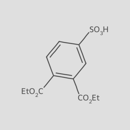 CCOC(=O)c1ccc(S(=O)(=O)O)cc1C(=O)OCC